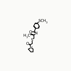 CSc1ccc(-c2nc(CSCC(=O)N3CCCC3)c(C)o2)cc1